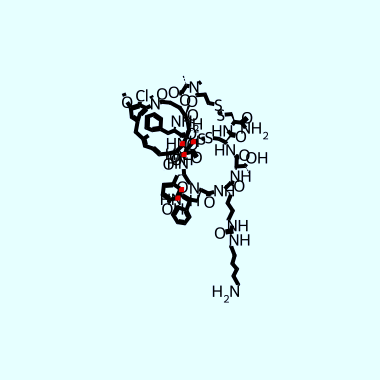 COc1cc2cc(c1Cl)N(C)C(=O)C[C@H](OC(=O)[C@H](C)N(C)C(=O)CCSSC[C@H](NC(=O)[C@@H]1CSSC[C@H](NC(=O)[C@H](N)Cc3ccccc3)C(=O)N[C@@H](Cc3ccc(O)cc3)C(=O)N[C@H](Cc3c[nH]c4ccccc34)C(=O)N[C@@H](CCCCNC(=O)NCCCCCCN)C(=O)N[C@@H]([C@@H](C)O)C(=O)N1)C(N)=O)[C@]1(C)O[C@H]1[C@H](C)[C@@H]1C[C@@](O)(NC(=O)O1)[C@H](OC)/C=C/C=C(\C)C2